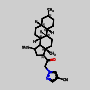 CSC1C[C@H](C(=O)Cn2cc(C#N)cn2)[C@@]2(C)CC[C@@H]3[C@H]4CC[C@H](C)C[C@H]4CC[C@H]3C12